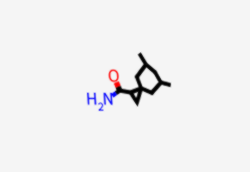 CC1CC(C)CC2(C1)CC2C(N)=O